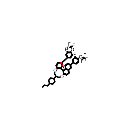 CCCC1CCC(C2COc3ccc4cc(-c5ccc(OC(F)(F)F)c(F)c5)ccc4c3-c3c(ccc4cc(-c5ccc(OC(F)(F)F)c(F)c5)ccc34)OC2)CC1